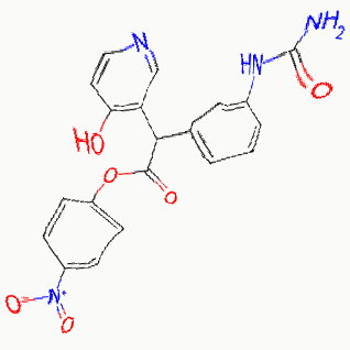 NC(=O)Nc1cccc(C(C(=O)Oc2ccc([N+](=O)[O-])cc2)c2cnccc2O)c1